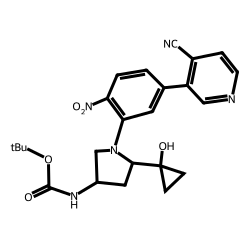 CC(C)(C)OC(=O)NC1CC(C2(O)CC2)N(c2cc(-c3cnccc3C#N)ccc2[N+](=O)[O-])C1